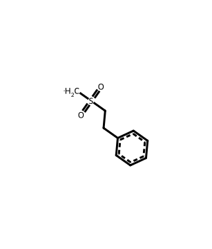 [CH2]S(=O)(=O)CCc1ccccc1